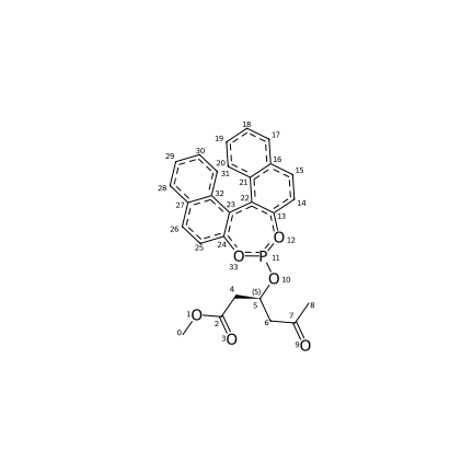 COC(=O)C[C@H](CC(C)=O)Op1oc2ccc3ccccc3c2c2c(ccc3ccccc32)o1